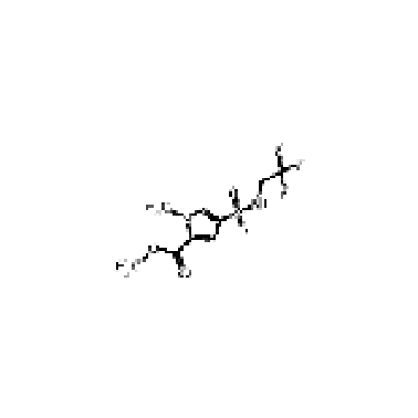 COC(=O)c1cc(S(=O)(=O)NCC(F)(F)F)cn1C